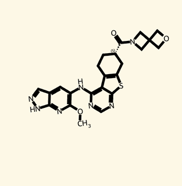 COc1nc2[nH]ncc2cc1Nc1ncnc2sc3c(c12)CC[C@H](C(=O)N1CC2(COC2)C1)C3